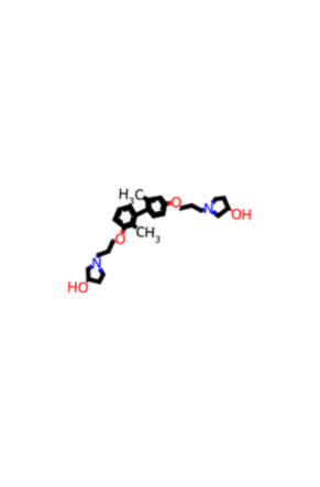 Cc1cc(OCCCN2CC[C@@H](O)C2)ccc1-c1cccc(OCCCN2CC[C@@H](O)C2)c1C